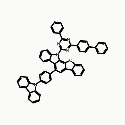 c1ccc(-c2ccc(-c3nc(-c4ccccc4)nc(-n4c5ccccc5c5c(-c6ccc(-n7c8ccccc8c8ccccc87)cc6)cc6c7ccccc7oc6c54)n3)cc2)cc1